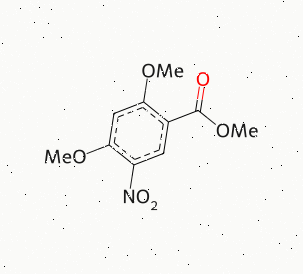 COC(=O)c1cc([N+](=O)[O-])c(OC)cc1OC